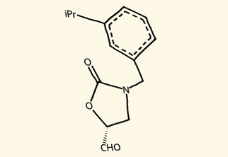 CC(C)c1cccc(CN2C[C@H](C=O)OC2=O)c1